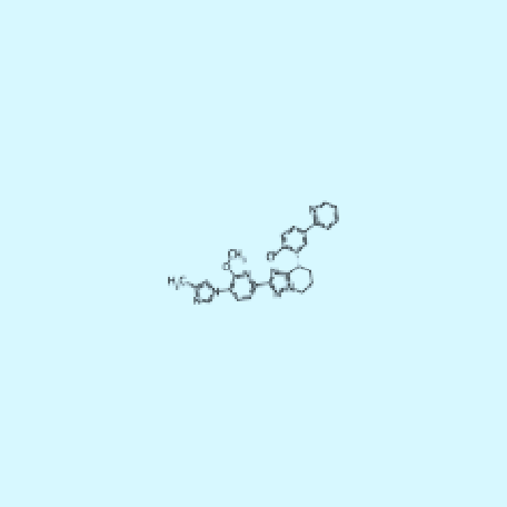 COc1nc(-c2nc3n(n2)CCC[C@H]3c2cc(-c3ccccn3)ccc2Cl)ccc1-n1cnc(C)c1